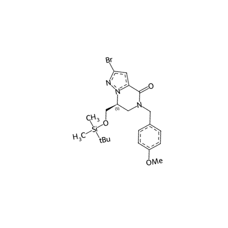 COc1ccc(CN2C[C@@H](CO[Si](C)(C)C(C)(C)C)n3nc(Br)cc3C2=O)cc1